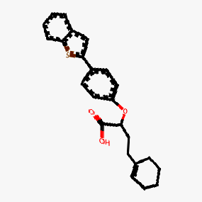 O=C(O)C(CCC1=CCCCC1)Oc1ccc(-c2cc3ccccc3s2)cc1